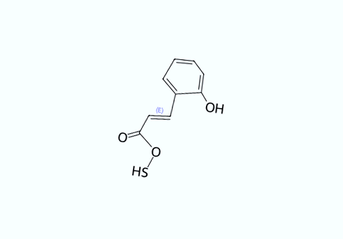 O=C(/C=C/c1ccccc1O)OS